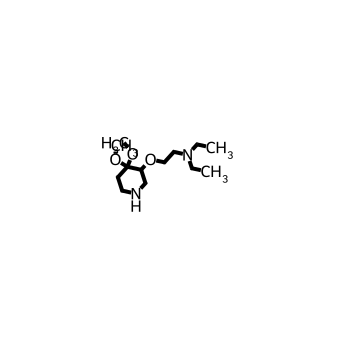 CCN(CC)CCOC1CNCCC1(OC)OC